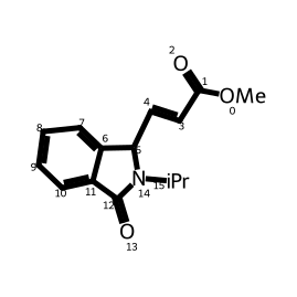 COC(=O)/C=C/C1c2ccccc2C(=O)N1C(C)C